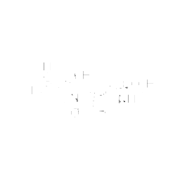 CC1(C)CC2CC(C)(CN2C(=O)c2ccc3[nH]c(C(=O)O)cc3c2)C1